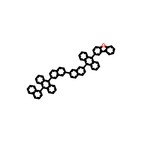 c1ccc2c(-c3c4ccccc4c(-c4ccc5ccc(-c6ccc7ccc(-c8c9ccccc9c(-c9ccc%10oc%11ccccc%11c%10c9)c9ccccc89)cc7c6)cc5c4)c4ccccc34)cccc2c1